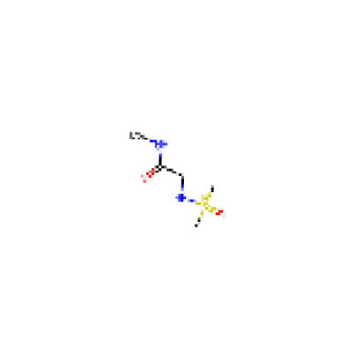 CCNC(=O)CN[SH](C)(C)=O